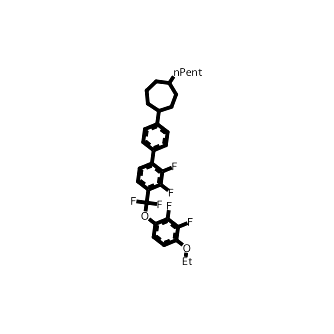 CCCCCC1CCCC(c2ccc(-c3ccc(C(F)(F)Oc4ccc(OCC)c(F)c4F)c(F)c3F)cc2)CC1